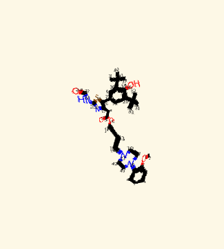 COc1ccccc1N1CCN(CCCOC(=O)Cc2nc(NC=O)sc2-c2cc(C(C)(C)C)c(O)c(C(C)(C)C)c2)CC1